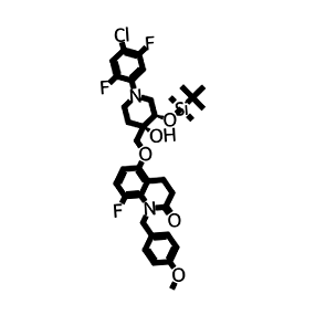 COc1ccc(CN2C(=O)CCc3c(OC[C@]4(O)CCN(c5cc(F)c(Cl)cc5F)C[C@H]4O[Si](C)(C)C(C)(C)C)ccc(F)c32)cc1